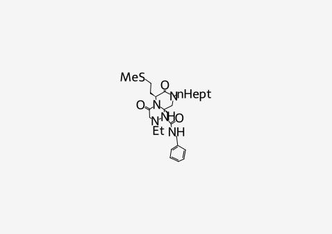 CCCCCCCN1C[C@H]2N(C(=O)CN(CC)N2C(=O)NCc2ccccc2)[C@@H](CCSC)C1=O